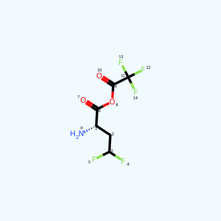 N[C@@H](CC(F)F)C(=O)OC(=O)C(F)(F)F